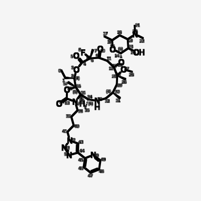 CC[C@H]1OC(=O)[C@](C)(F)C(=O)C[C@@H](O[C@@H]2OC(C)CC(N(C)C)C2O)[C@](C)(OC)C[C@@H](C)CN[C@H](C)[C@H]2N(CCCCn3cc(-c4ccccn4)nn3)C(=O)O[C@]12C